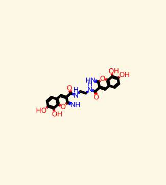 N=c1oc2c(O)c(O)ccc2cc1C(=O)NCCNC(=O)c1cc2ccc(O)c(O)c2oc1=N